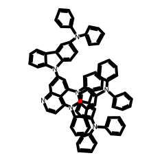 c1ccc(N(c2ccccc2)c2ccc3c(c2)c2ccccc2n3-c2cc(-n3c4ccccc4c4cc(N(c5ccccc5)c5ccccc5)ccc43)c3c(-n4c5ccccc5c5cc(N(c6ccccc6)c6ccccc6)ccc54)ccnc3c2)cc1